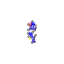 c1ccc(-c2nc(-c3ccccc3)nc(-c3cc(-n4c5cc6ccccc6cc5c5cc6c7c(-c8ccc(-c9nc(-c%10ccccc%10)nc(-c%10cc(-n%11c%12cc%13ccccc%13cc%12c%12cc%13c%14cccc%15c%16ccccc%16n(c%13cc%12%11)c%15%14)cc%11sc%12ccccc%12c%10%11)n9)cc8)ccc8c9ccccc9n(c6cc54)c87)cc4c3oc3ccccc34)n2)cc1